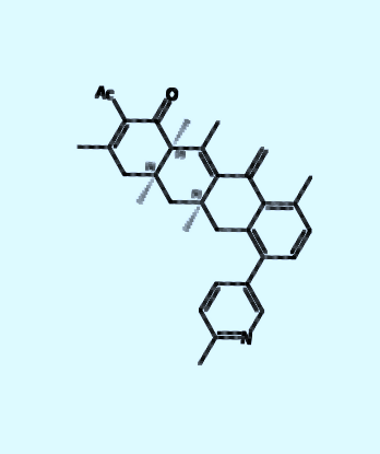 C=C1C2=C(C)[C@]3(C)C(=O)C(C(C)=O)=C(C)C[C@]3(C)C[C@]2(C)Cc2c(-c3ccc(C)nc3)ccc(C)c21